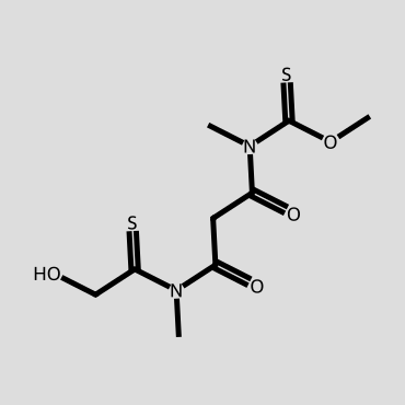 COC(=S)N(C)C(=O)CC(=O)N(C)C(=S)CO